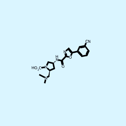 CN(C)C[C@@H]1C[C@@H](NC(=O)c2ncc(-c3cccc(C#N)c3)o2)CN1C(=O)O